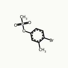 Cc1cc(OS(C)(=O)=O)ccc1Br